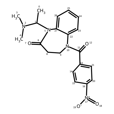 CC(N(C)C)N1C(=O)CCN(C(=O)c2ccc([N+](=O)[O-])cc2)c2ccccc21